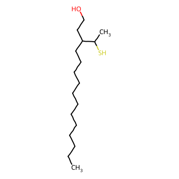 CCCCCCCCCCCCC(CCO)C(C)S